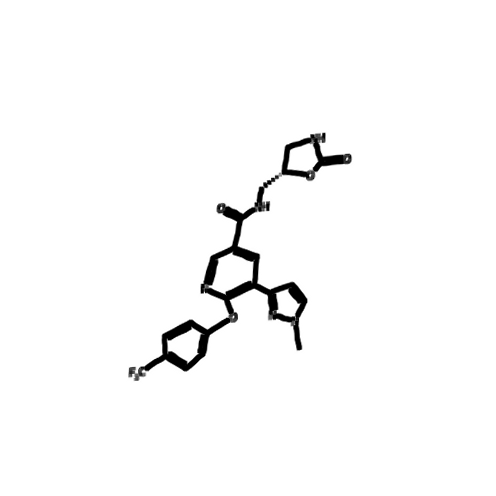 Cn1ccc(-c2cc(C(=O)NC[C@@H]3CNC(=O)O3)cnc2Oc2ccc(C(F)(F)F)cc2)n1